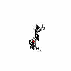 CC(=O)OC1CCCCC1Nc1nc2ccc(Cn3ccnc(N)c3=O)cc2s1